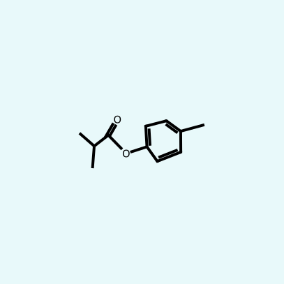 Cc1ccc(OC(=O)C(C)C)cc1